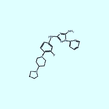 Nc1nc(Nc2ccc(N3CCC(N4CCCC4)CC3)c(F)c2)nn1-c1ccccn1